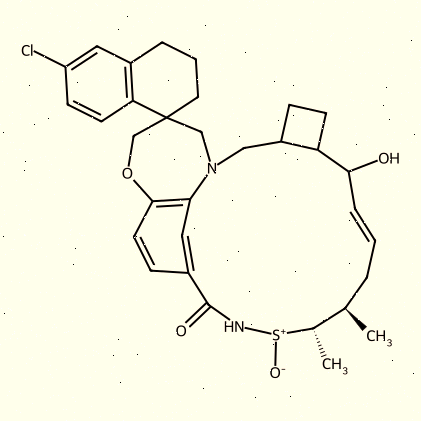 C[C@@H]1C/C=C/C(O)C2CCC2CN2CC3(CCCc4cc(Cl)ccc43)COc3ccc(cc32)C(=O)N[S+]([O-])[C@H]1C